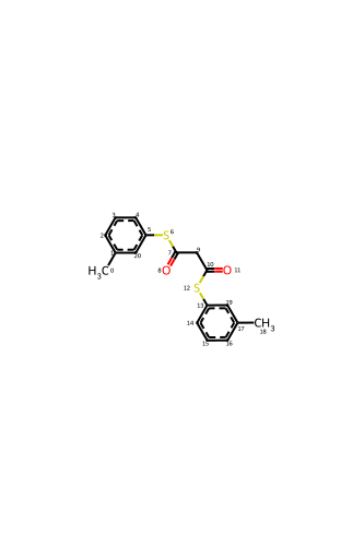 Cc1cccc(SC(=O)CC(=O)Sc2cccc(C)c2)c1